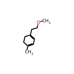 COCCC1=CC=C(C)CC1